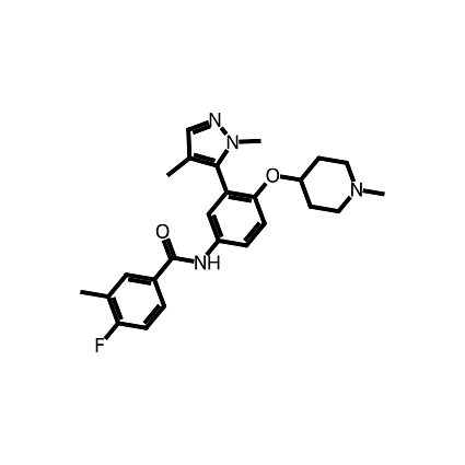 Cc1cc(C(=O)Nc2ccc(OC3CCN(C)CC3)c(-c3c(C)cnn3C)c2)ccc1F